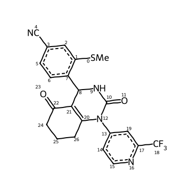 CSc1cc(C#N)ccc1C1NC(=O)N(c2ccnc(C(F)(F)F)c2)C2=C1C(=O)CCC2